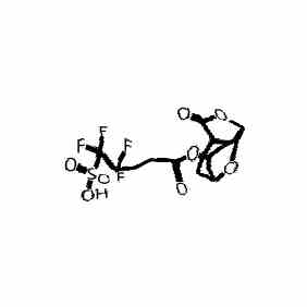 O=C(CCC(F)(F)C(F)(F)S(=O)(=O)O)OC1C2CC3C(=O)OC1C3O2